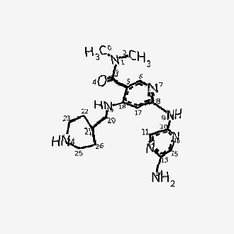 CN(C)C(=O)c1cnc(Nc2cnc(N)cn2)cc1NCC1CCNCC1